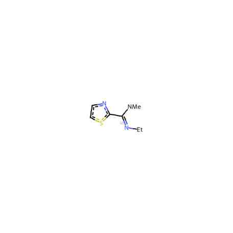 CC/N=C(\NC)c1nccs1